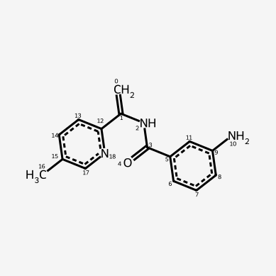 C=C(NC(=O)c1cccc(N)c1)c1ccc(C)cn1